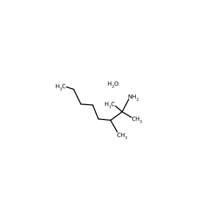 CCCCCC(C)C(C)(C)N.O